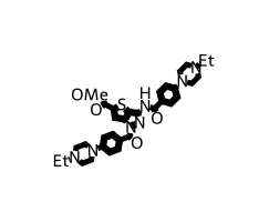 CCN1CCN(c2ccc(C(=O)Nc3nn(C(=O)c4ccc(N5CCN(CC)CC5)cc4)c4cc(C(=O)OC)sc34)cc2)CC1